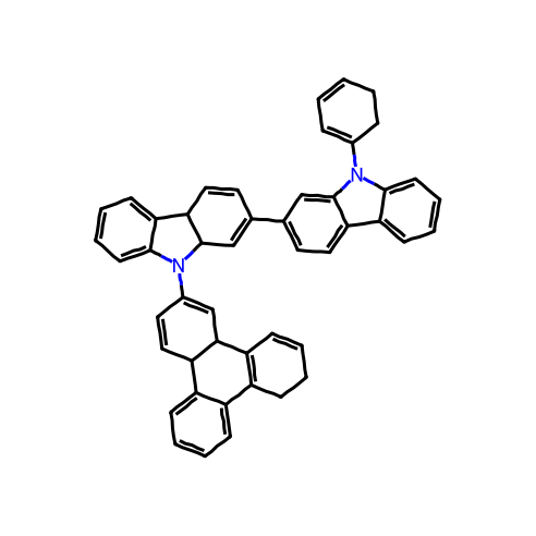 C1=CCCC(n2c3ccccc3c3ccc(C4=CC5C(C=C4)c4ccccc4N5C4=CC5C6=C(CCC=C6)c6ccccc6C5C=C4)cc32)=C1